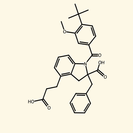 COc1cc(C(=O)N2c3cccc(CCC(=O)O)c3CC2(Cc2ccccc2)C(=O)O)ccc1C(C)(C)C